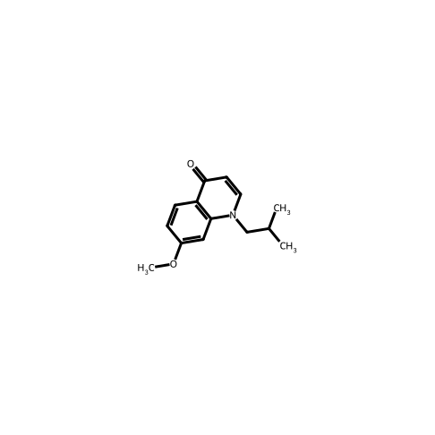 COc1ccc2c(=O)ccn(CC(C)C)c2c1